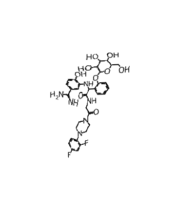 N=C(N)c1ccc(O)c(NC(C(=O)NCC(=O)N2CCN(c3ccc(F)cc3F)CC2)c2ccccc2OC2OC(CO)C(O)C(O)C2O)c1